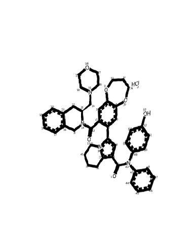 Cl.O=C(c1cc(-c2cc3c(cc2C(=O)N2Cc4ccccc4C[C@H]2CN2CCOCC2)OCCCO3)n2c1CCCC2)N(c1ccccc1)c1ccc(O)cc1